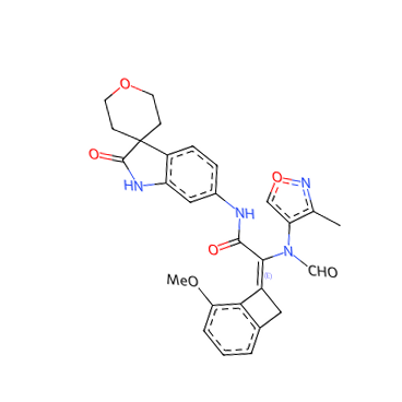 COc1cccc2c1/C(=C(\C(=O)Nc1ccc3c(c1)NC(=O)C31CCOCC1)N(C=O)c1conc1C)C2